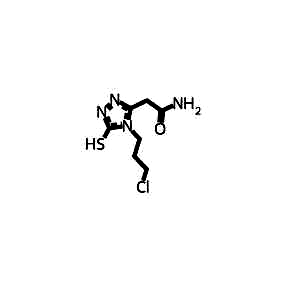 NC(=O)Cc1nnc(S)n1CCCCl